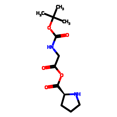 CC(C)(C)OC(=O)NCC(=O)OC(=O)[C@@H]1CCCN1